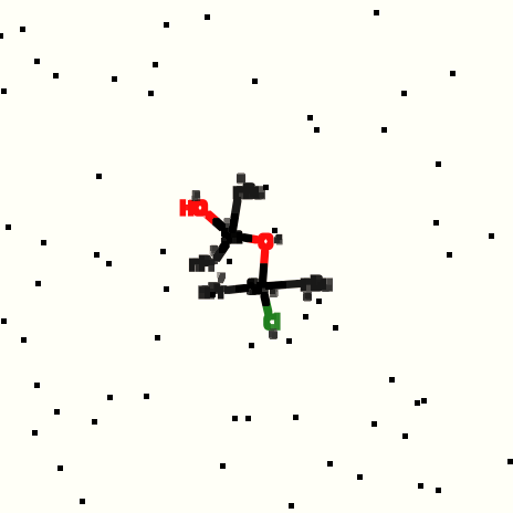 CCC[CH2][Sn]([OH])([CH2]CC)[O][Sn]([Cl])([CH2]CC)[CH2]CCC